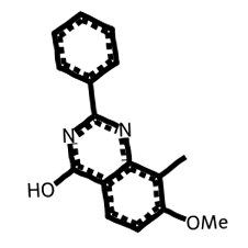 COc1ccc2c(O)nc(-c3ccccc3)nc2c1C